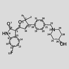 CC1(C)OC(=C2C(=O)Nc3cc(F)ccc32)C=C1c1ccc(CN2CCC(O)CC2)cc1